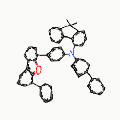 CC1(C)c2ccccc2-c2c(N(c3ccc(-c4ccccc4)cc3)c3ccc(-c4cccc5c4oc4c(-c6ccccc6)cccc45)cc3)cccc21